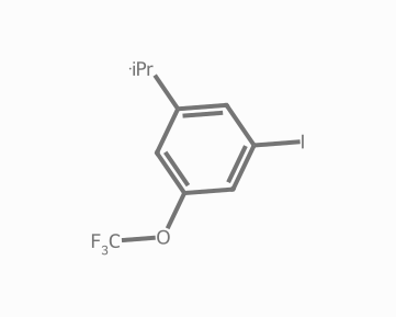 C[C](C)c1cc(I)cc(OC(F)(F)F)c1